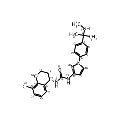 CNC(C)(C)c1ccc(-n2ccc(NC(=O)N[C@H]3CCOc4c(Cl)cccc43)n2)cc1